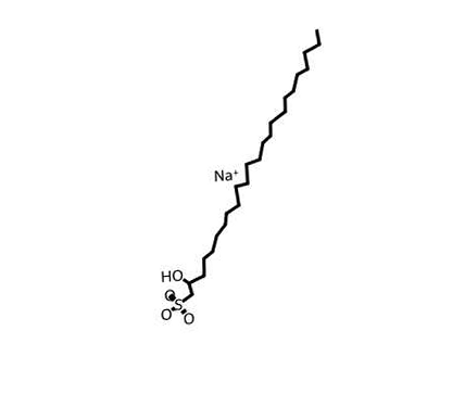 CCCCCCCCCCCCCCCCCCCCCCC(O)CS(=O)(=O)[O-].[Na+]